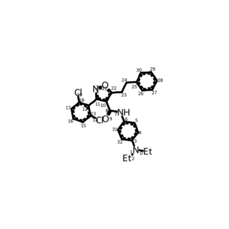 CCN(CC)c1ccc(NC(=O)c2c(-c3c(Cl)cccc3Cl)noc2CCc2ccccc2)cc1